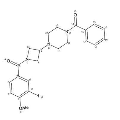 COc1ccc(C(=O)N2CC(N3CCN(C(=O)c4ccccc4)CC3)C2)cc1I